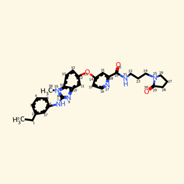 CCc1cccc(Nc2nc3cc(Oc4ccnc(C(=O)NCCCN5CCCC5=O)c4)ccc3n2C)c1